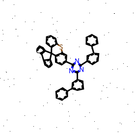 c1ccc(-c2cccc(-c3nc(-c4cccc(-c5ccccc5)c4)nc(-c4ccc5c(c4)Sc4ccccc4C54c5ccccc5-c5ccccc54)n3)c2)cc1